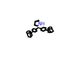 c1cc(C23CC4CC(CC(C4)C2)C3)ccc1C(c1ccc(C23CC4CC(CC(C4)C2)C3)cc1)[C@@H]1CCCN1